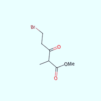 COC(=O)C(C)C(=O)CCBr